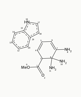 COC(=O)C1C=CC=C(N)C1(N)N.c1ccc2[nH]ccc2c1